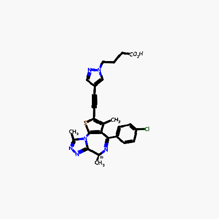 Cc1c(C#Cc2cnn(CCCC(=O)O)c2)sc2c1C(c1ccc(Cl)cc1)=N[C@@H](C)c1nnc(C)n1-2